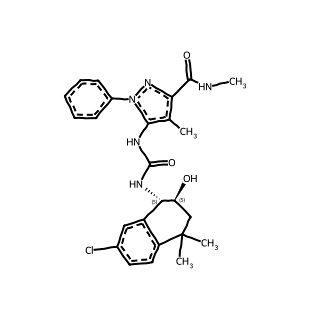 CNC(=O)c1nn(-c2ccccc2)c(NC(=O)N[C@H]2c3cc(Cl)ccc3C(C)(C)C[C@@H]2O)c1C